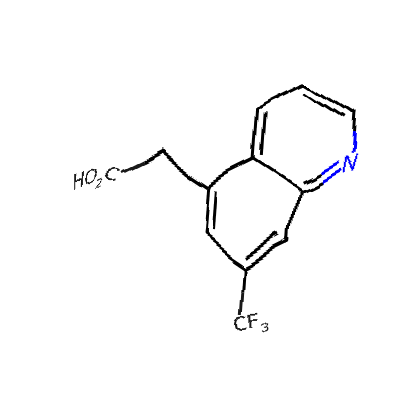 O=C(O)Cc1cc(C(F)(F)F)cc2ncccc12